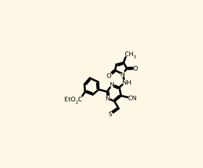 CCOC(=O)c1cccc(-c2nc(C=S)c(C#N)c(NN3C(=O)C=C(C)C3=O)n2)c1